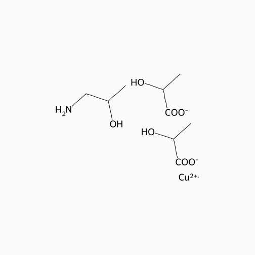 CC(O)C(=O)[O-].CC(O)C(=O)[O-].CC(O)CN.[Cu+2]